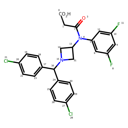 O=C(O)CC(=O)N(c1cc(F)cc(F)c1)C1CN(C(c2ccc(Cl)cc2)c2ccc(Cl)cc2)C1